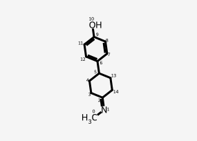 CN=C1CCC(c2ccc(O)cc2)CC1